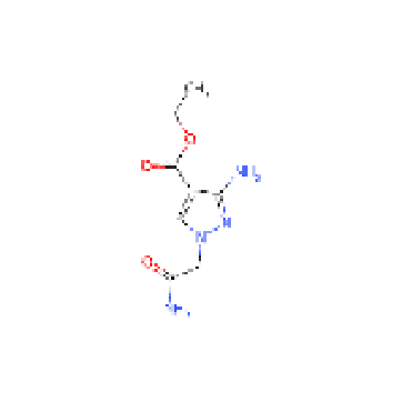 CCOC(=O)c1cn(CC(N)=O)nc1N